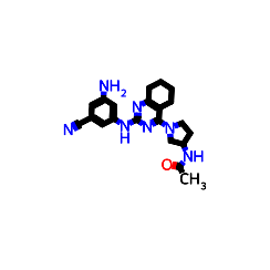 CC(=O)NC1CCN(c2nc(Nc3cc(N)cc(C#N)c3)nc3c2CCCC3)C1